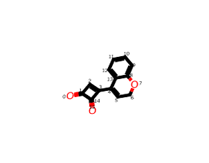 O=c1cc(C2=CCOc3ccccc32)c1=O